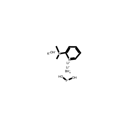 CN(C)c1ccccn1.O[P-]O.[BH4-].[K+].[Li+].[Li+].[OH-]